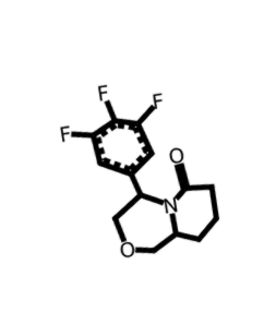 O=C1CCCC2COCC(c3cc(F)c(F)c(F)c3)N12